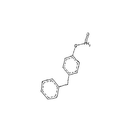 O=[PH2]Oc1ccc(Cc2ccccc2)cc1